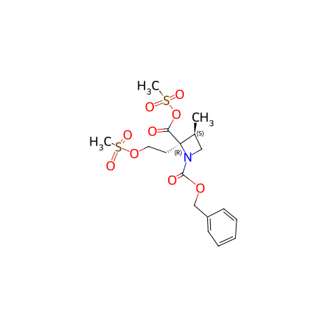 C[C@H]1CN(C(=O)OCc2ccccc2)[C@@]1(CCOS(C)(=O)=O)C(=O)OS(C)(=O)=O